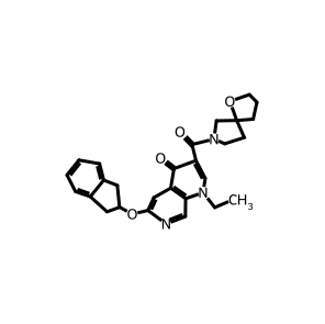 CCn1cc(C(=O)N2CCC3(CCCO3)C2)c(=O)c2cc(OC3Cc4ccccc4C3)ncc21